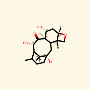 CC1CC[C@]2(O)CC3[C@H]4CO[C@H]4C[C@@H](O)[C@]3(C)C(=O)[C@@H](O)C1[C@H]2C